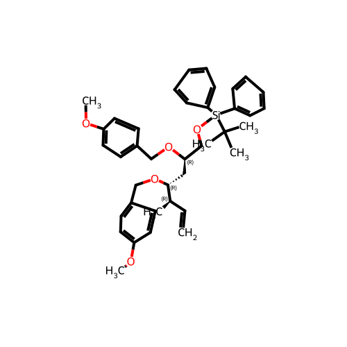 C=C[C@@H](C)[C@@H](C[C@H](CO[Si](c1ccccc1)(c1ccccc1)C(C)(C)C)OCc1ccc(OC)cc1)OCc1ccc(OC)cc1